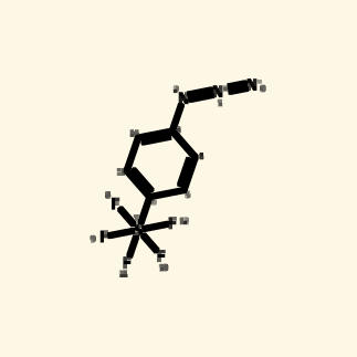 [N-]=[N+]=Nc1ccc(S(F)(F)(F)(F)F)cc1